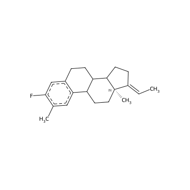 CC=C1CCC2C3CCc4cc(F)c(C)cc4C3CC[C@]12C